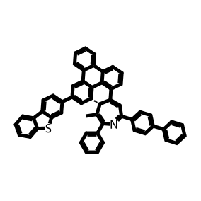 CC1=C(c2ccccc2)N=C(c2ccc(-c3ccccc3)cc2)C=C(c2cccc3c4ccccc4c4cc(-c5ccc6c(c5)sc5ccccc56)ccc4c23)[C@H]1C